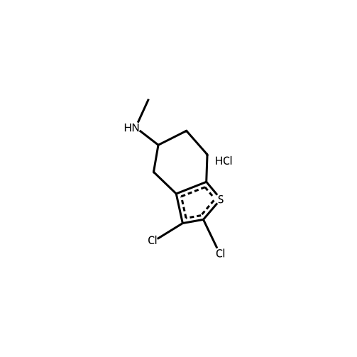 CNC1CCc2sc(Cl)c(Cl)c2C1.Cl